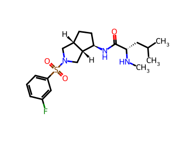 CN[C@@H](CC(C)C)C(=O)N[C@@H]1CC[C@H]2CN(S(=O)(=O)c3cccc(F)c3)C[C@H]21